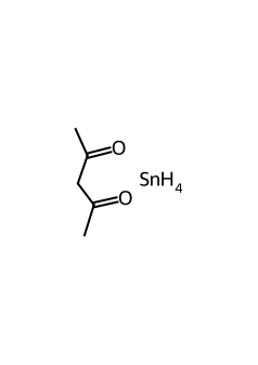 CC(=O)CC(C)=O.[SnH4]